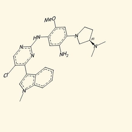 COc1cc(N2CC[C@@H](N(C)C)C2)c(N)cc1Nc1ncc(Cl)c(-c2cn(C)c3ccccc23)n1